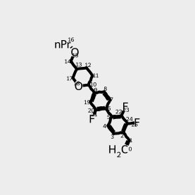 C=Cc1ccc(-c2ccc(C3CCC(COCCC)CO3)cc2F)c(F)c1F